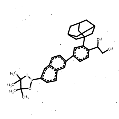 CC1(C)OB(c2ccc3cc(-c4ccc(C(O)CO)c(C56CC7CC(CC(C7)C5)C6)c4)ccc3c2)OC1(C)C